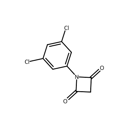 O=C1CC(=O)N1c1cc(Cl)cc(Cl)c1